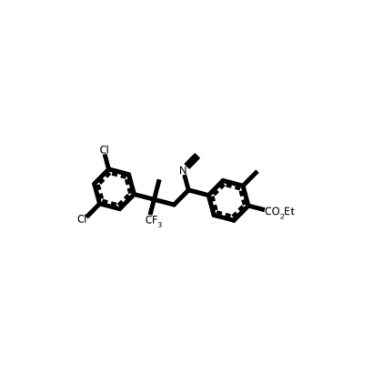 C=NC(CC(C)(c1cc(Cl)cc(Cl)c1)C(F)(F)F)c1ccc(C(=O)OCC)c(C)c1